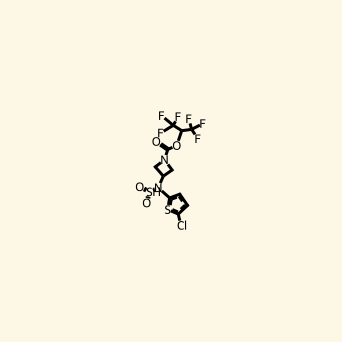 O=C(OC(C(F)(F)F)C(F)(F)F)N1CC(N(c2ccc(Cl)s2)[SH](=O)=O)C1